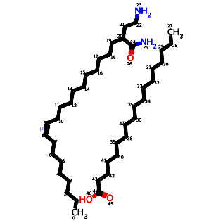 CCCCCCCC/C=C\CCCCCCCCCCC(CCN)C(N)=O.CCCCCCCCCCCCCCCCCC(=O)O